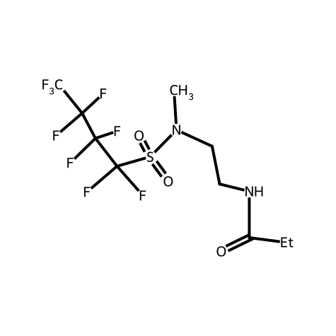 CCC(=O)NCCN(C)S(=O)(=O)C(F)(F)C(F)(F)C(F)(F)C(F)(F)F